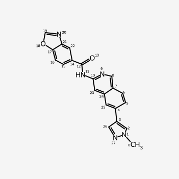 Cn1cc(-c2ccc3cnc(NC(=O)c4ccc5ocnc5c4)cc3c2)cn1